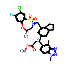 CC[C@@H]1CN(Cc2cc([C@@H](CC(=O)OC(C)(C)C)c3ccc4c(nnn4C)c3C)cc3c2CCC3)S(=O)(=O)c2cc(Cl)c(F)cc2O1